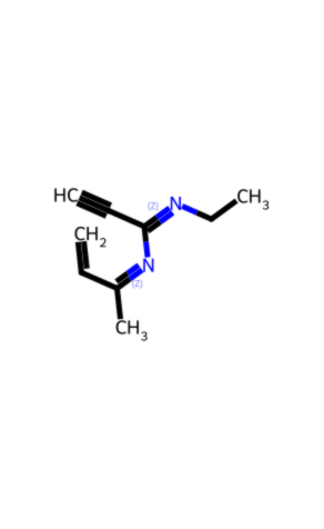 C#CC(/N=C(/C)C=C)=N/CC